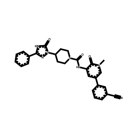 Cn1cc(-c2cccc(C#N)c2)cc(NC(=O)N2CCC(n3nc(-c4ccccc4)[nH]c3=O)CC2)c1=O